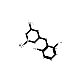 CN1CC(N)CC(Cc2c(F)cccc2F)C1